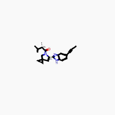 CC#Cc1ccc2[nH]c([C@@H]3CC4(CC4)CN3C(=O)[C@@H](C)C(C)C)nc2c1